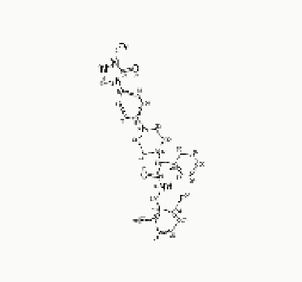 CC(C)n1ncn(-c2ccc(N3CCN(C(C(=O)NCc4c(F)cccc4F)c4ccccc4)CC3)cc2)c1=O